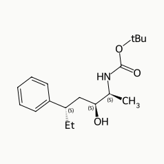 CC[C@@H](C[C@H](O)[C@H](C)NC(=O)OC(C)(C)C)c1ccccc1